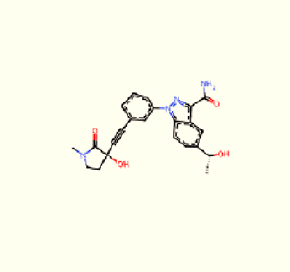 C[C@@H](O)c1ccc2c(c1)c(C(N)=O)nn2-c1cccc(C#C[C@]2(O)CCN(C)C2=O)c1